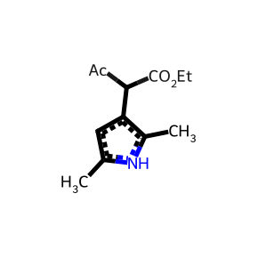 CCOC(=O)C(C(C)=O)c1cc(C)[nH]c1C